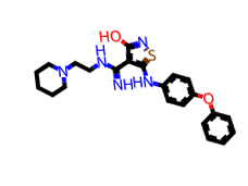 N=C(NCCN1CCCCC1)c1c(O)nsc1Nc1ccc(Oc2ccccc2)cc1